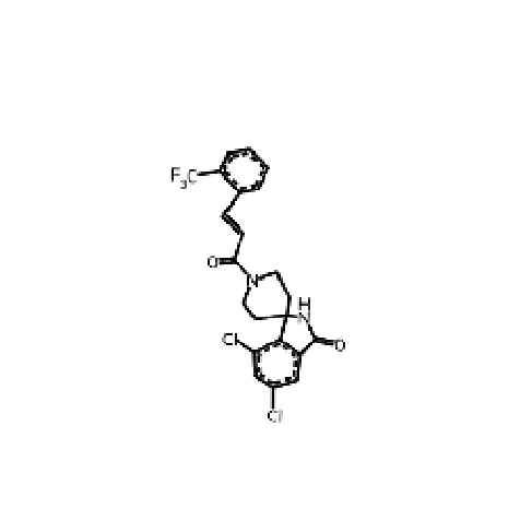 O=C1NC2(CCN(C(=O)C=Cc3ccccc3C(F)(F)F)CC2)c2c(Cl)cc(Cl)cc21